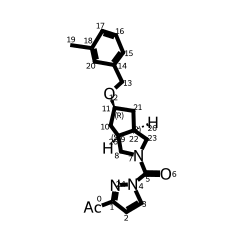 CC(=O)c1ccn(C(=O)N2C[C@H]3C[C@@H](OCc4cccc(C)c4)C[C@H]3C2)n1